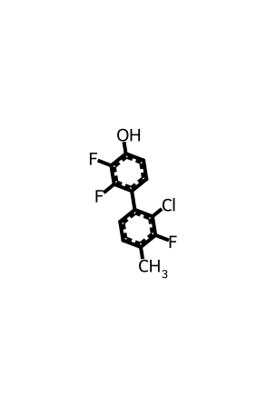 Cc1ccc(-c2ccc(O)c(F)c2F)c(Cl)c1F